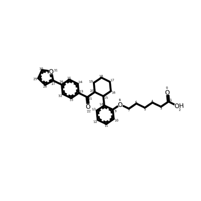 O=C(O)CCCCCOc1ccccc1C1CCCCC1C(=O)c1ccc(-c2ccco2)cc1